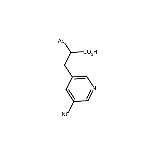 CC(=O)C(Cc1cncc(C#N)c1)C(=O)O